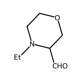 CCN1CCOCC1C=O